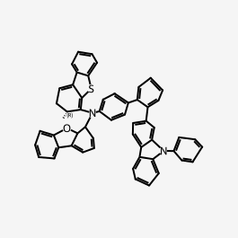 C[C@@H]1CC=c2c(sc3ccccc23)=C1N(c1ccc(-c2ccccc2-c2ccc3c4ccccc4n(-c4ccccc4)c3c2)cc1)C1C=CC=C2c3ccccc3OC21